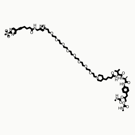 CNC(=O)OCC(Cc1ccc(NC(=O)[C@H](C)NC(=O)[C@@H](NC(=O)CCCC2CCN(CCOCCOCCOCCOCCOCCOCCOCCOCCn3cc(CNC(=O)CCCC#Cc4cnc(S(C)(=O)=O)nc4)nn3)CC2)C(C)C)cc1)OC(=O)NC